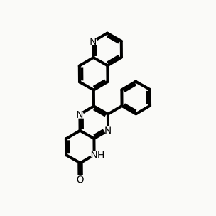 O=c1ccc2nc(-c3ccc4ncccc4c3)c(-c3ccccc3)nc2[nH]1